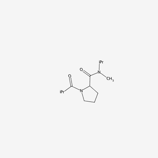 CC(C)C(=O)N1CCCC1C(=O)N(C)C(C)C